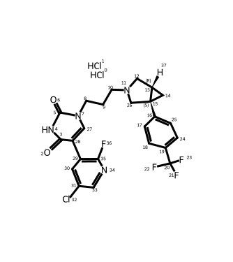 Cl.Cl.O=c1[nH]c(=O)n(CCCN2C[C@@H]3C[C@]3(c3ccc(C(F)(F)F)cc3)C2)cc1-c1cc(Cl)cnc1F